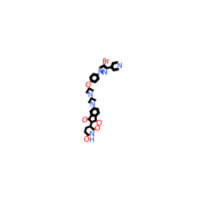 O=C1CCC(C2C(=O)c3ccc(N4CC(N5CC(Oc6ccc(-n7cc(Br)c(-c8ccncc8)n7)cc6)C5)C4)cc3C2=O)C(=O)N1